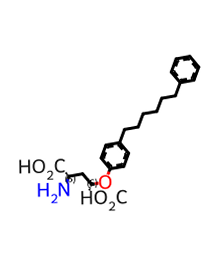 N[C@@H](C[C@H](Oc1ccc(CCCCCCc2ccccc2)cc1)C(=O)O)C(=O)O